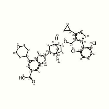 O=C(O)c1cc(C2CCOCC2)c2nc(N3C[C@@H]4C[C@H]3C[C@H]4OCc3c(C4CC4)cnn3-c3c(Cl)cccc3Cl)sc2c1